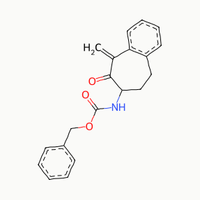 C=C1C(=O)C(NC(=O)OCc2ccccc2)CCc2ccccc21